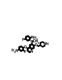 COc1cc2c(Oc3ccc(N)cc3F)ccnc2cc1OCC1CCNCC1.Nc1ccc(F)cc1